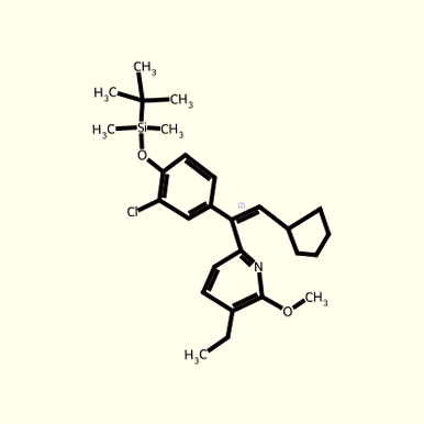 CCc1ccc(/C(=C\C2CCCC2)c2ccc(O[Si](C)(C)C(C)(C)C)c(Cl)c2)nc1OC